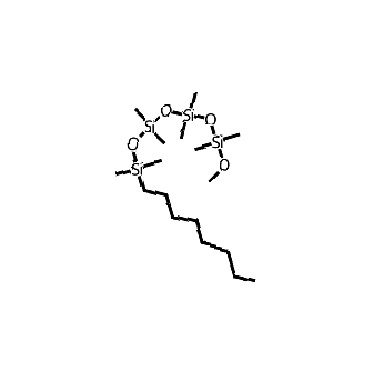 CCCCCCCC[Si](C)(C)O[Si](C)(C)O[Si](C)(C)O[Si](C)(C)OC